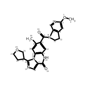 COc1cc2c(cn1)N(C(=O)c1cc3[nH]c(=O)c4cnc(C5CCOC5)n4c3cc1C)CC2